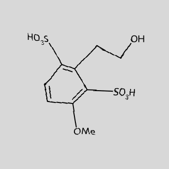 COc1ccc(S(=O)(=O)O)c(CCO)c1S(=O)(=O)O